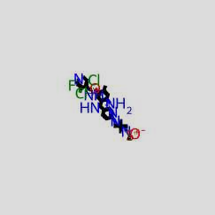 Cc1cc(N)c(C(=N)c2ccc(N3CC4(C3)CN([S+](C)[O-])C4)nc2)cc1O[C@H](N)c1c(Cl)cnc(F)c1Cl